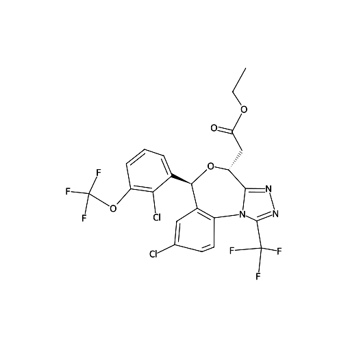 CCOC(=O)C[C@H]1O[C@H](c2cccc(OC(F)(F)F)c2Cl)c2cc(Cl)ccc2-n2c1nnc2C(F)(F)F